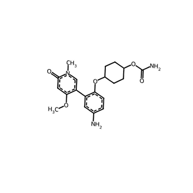 COc1cc(=O)n(C)cc1-c1cc(N)ccc1OC1CCC(OC(N)=O)CC1